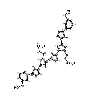 O=C(O)CCc1cc(-c2ccc(-c3cccc(CO)c3)s2)sc1-c1ccc(-c2sc(-c3ccc(-c4cccc(CO)c4)s3)cc2CCC(=O)O)s1